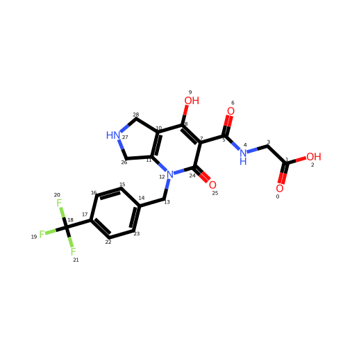 O=C(O)CNC(=O)c1c(O)c2c(n(Cc3ccc(C(F)(F)F)cc3)c1=O)CNC2